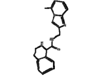 Cc1cccc2nc(CNC(=O)C3NCCc4ccccc43)cn12